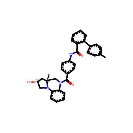 Cc1ccc(-c2ccccc2C(=O)Nc2ccc(C(=O)N3C[C@H]4C[C@H](O)CN4c4ccccc43)cc2)cc1